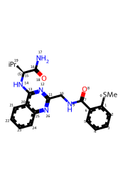 CSc1ccccc1C(=O)NCc1nc(N[C@H](C(N)=O)C(C)C)c2ccccc2n1